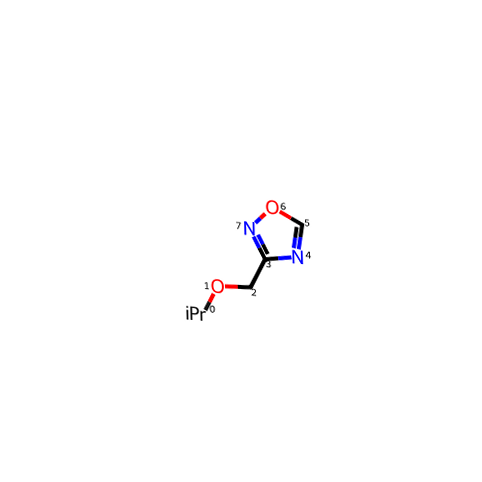 CC(C)OCc1ncon1